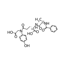 C[C@H](NC(=O)c1ccccc1)C(=O)N[C@@H](CCC(=O)N(CC(=O)O)c1ccc(O)cc1)C(=O)O